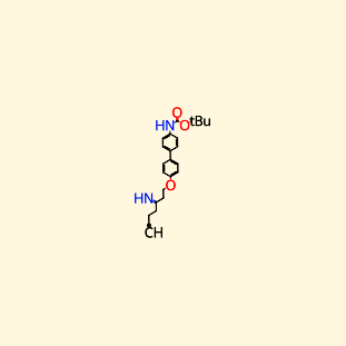 C#CCCC(=N)CCOc1ccc(-c2ccc(NC(=O)OC(C)(C)C)cc2)cc1